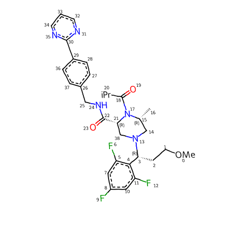 COCC[C@H](c1c(F)cc(F)cc1F)N1C[C@@H](C)N(C(=O)C(C)C)[C@@H](C(=O)NCc2ccc(-c3ncccn3)cc2)C1